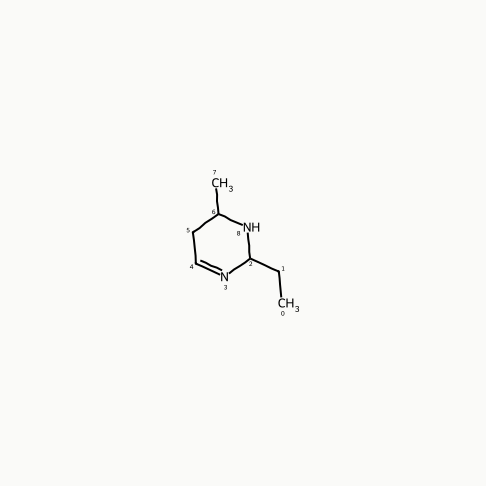 CCC1N=CCC(C)N1